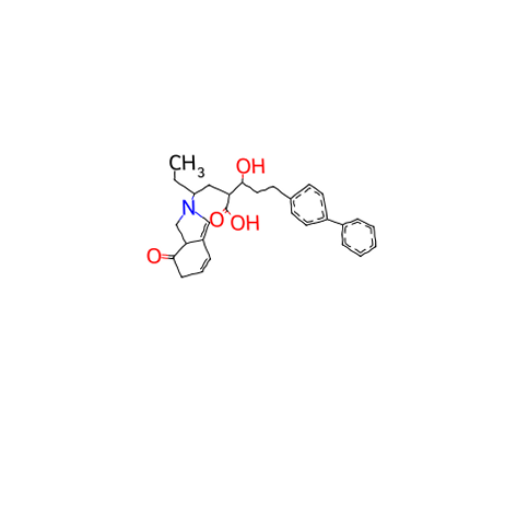 CCC(CC(C(=O)O)C(O)CCc1ccc(-c2ccccc2)cc1)N1C=C2C=CCC(=O)C2C1